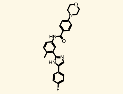 Cc1ccc(NC(=O)c2ccc(N3CCOCC3)cc2)cc1-c1ncc(-c2ccc(F)cc2)[nH]1